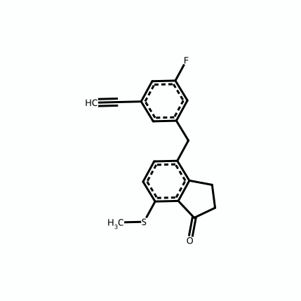 C#Cc1cc(F)cc(Cc2ccc(SC)c3c2CCC3=O)c1